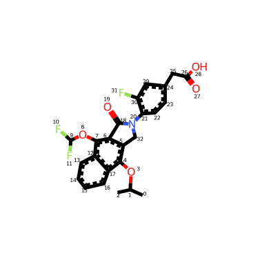 CC(C)Oc1c2c(c(OC(F)F)c3ccccc13)C(=O)N(c1ccc(CC(=O)O)cc1F)C2